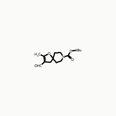 CC1=C(C=O)CC2(CCN(C(=O)OC(C)(C)C)CC2)O1